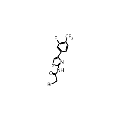 O=C(CBr)Nc1nc(-c2ccc(C(F)(F)F)c(F)c2)cs1